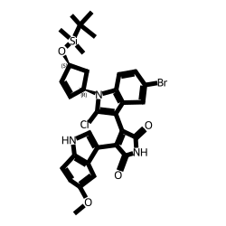 COc1ccc2[nH]cc(C3=C(c4c(Cl)n([C@H]5C=C[C@@H](O[Si](C)(C)C(C)(C)C)C5)c5ccc(Br)cc45)C(=O)NC3=O)c2c1